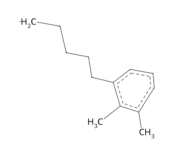 [CH2]CCCCc1cccc(C)c1C